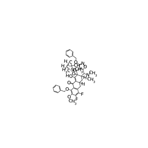 COc1c(F)c(F)c2c(c1OCc1ccccc1)C(=O)C1=C(O)[C@]3(O[Si](C)(C)C(C)(C)C)C(=O)c4c(OCc5ccccc5)noc4C(N(C)C)[C@@H]3C[C@@H]1C2